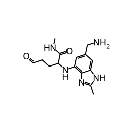 CNC(=O)C(CCC=O)Nc1cc(CN)cc2[nH]c(C)nc12